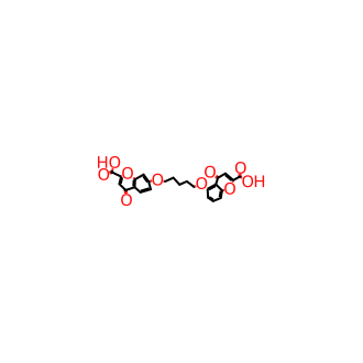 O=C(O)c1cc(=O)c2ccc(OCCCCCOc3cccc4oc(C(=O)O)cc(=O)c34)cc2o1